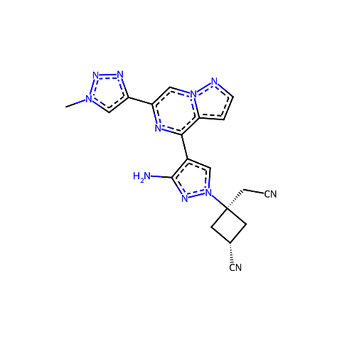 Cn1cc(-c2cn3nccc3c(-c3cn([C@]4(CC#N)C[C@@H](C#N)C4)nc3N)n2)nn1